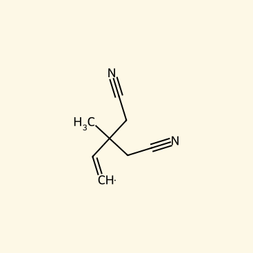 [CH]=CC(C)(CC#N)CC#N